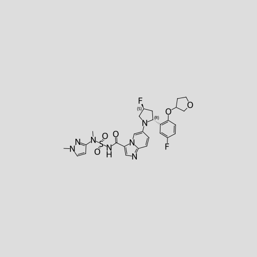 CN(c1ccn(C)n1)S(=O)(=O)NC(=O)c1cnc2ccc(N3C[C@@H](F)C[C@@H]3c3cc(F)ccc3OC3CCOC3)cn12